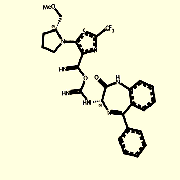 COC[C@H]1CCCN1c1sc(C(F)(F)F)nc1C(=N)OC(=N)N[C@H]1N=C(c2ccccc2)c2ccccc2NC1=O